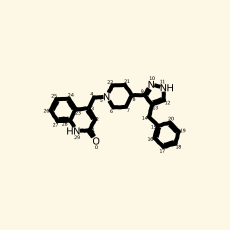 O=c1cc(CN2CCC(c3n[nH]cc3Cc3ccccc3)CC2)c2ccccc2[nH]1